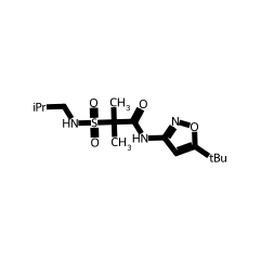 CC(C)CNS(=O)(=O)C(C)(C)C(=O)Nc1cc(C(C)(C)C)on1